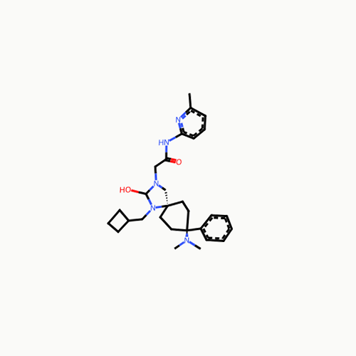 Cc1cccc(NC(=O)CN2C[C@]3(CC[C@](c4ccccc4)(N(C)C)CC3)N(CC3CCC3)C2O)n1